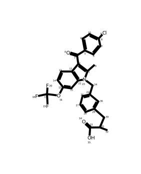 Cc1c(C(=O)c2ccc(Cl)cc2)c2ccc(OC(F)(F)F)cc2n1Cc1cccc(CC(C)C(=O)O)c1